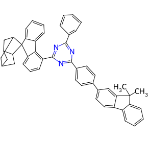 CC1(C)c2ccccc2-c2ccc(-c3ccc(-c4nc(-c5ccccc5)nc(-c5cccc6c5-c5ccccc5C65C6CC7CC(C6)C5C7)n4)cc3)cc21